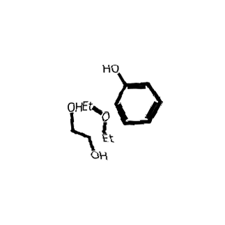 CCOCC.OCCO.Oc1ccccc1